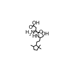 CC1CCC(C)(C)C1CCC(CO)NC(=O)[C@@H](N)CC(=O)O